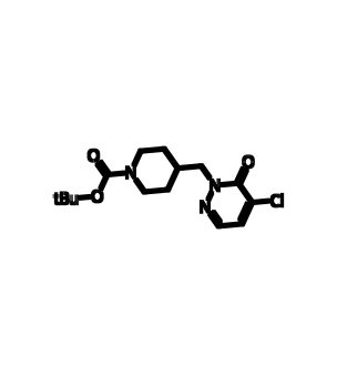 CC(C)(C)OC(=O)N1CCC(Cn2nccc(Cl)c2=O)CC1